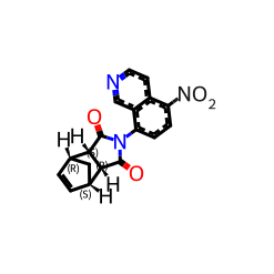 O=C1[C@@H]2[C@H](C(=O)N1c1ccc([N+](=O)[O-])c3ccncc13)[C@@H]1C=C[C@H]2C1